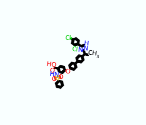 CCC(c1ccc(-c2ccc(Oc3ccc(C(=O)O)c(NS(=O)(=O)c4ccccc4)c3)cc2)cc1)c1nc(-c2ccc(Cl)cc2Cl)c[nH]1